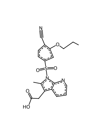 CCCOc1cc(S(=O)(=O)n2c(C)c(CC(=O)O)c3cccnc32)ccc1C#N